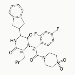 CC(C)C[C@@H]1C(=O)NC(C2Cc3ccccc3C2)C(=O)N1[C@@H](C(=O)N1CCS(=O)(=O)CC1)c1ccc(F)cc1F